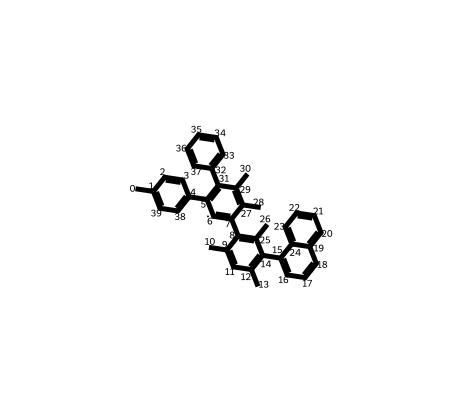 Cc1ccc(-c2[c]c(-c3c(C)cc(C)c(-c4cccc5ccccc45)c3C)c(C)c(C)c2-c2ccccc2)cc1